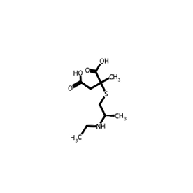 CCN[C@H](C)CSC(C)(CC(=O)O)C(=O)O